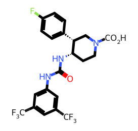 O=C(Nc1cc(C(F)(F)F)cc(C(F)(F)F)c1)N[C@H]1CCN(C(=O)O)C[C@H]1c1ccc(F)cc1